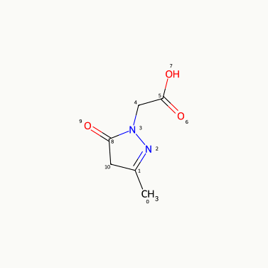 CC1=NN(CC(=O)O)C(=O)C1